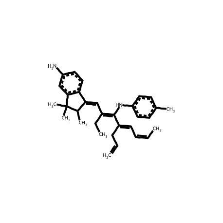 C=CCC(=C\C=C/C)/C(Nc1ccc(C)cc1)=C(/C=C1/c2ccc(N)cc2C(C)(C)C1C)CC